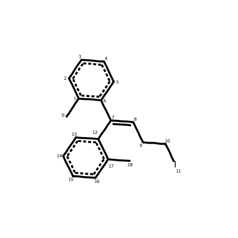 Cc1ccccc1C(=CCCI)c1ccccc1C